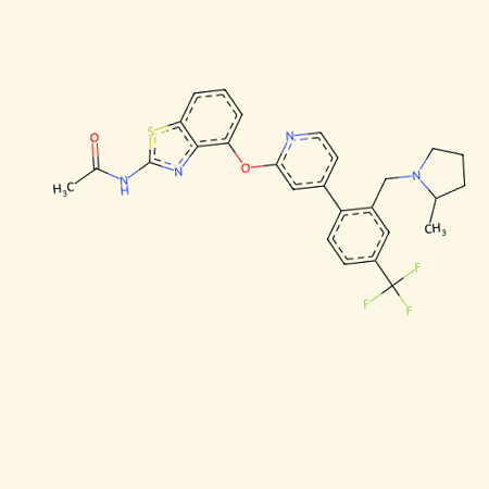 CC(=O)Nc1nc2c(Oc3cc(-c4ccc(C(F)(F)F)cc4CN4CCCC4C)ccn3)cccc2s1